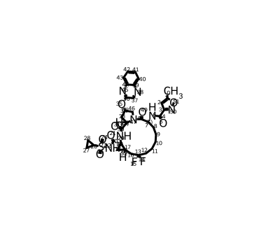 Cc1cc(C(=O)N[C@H]2CCCCCC(F)(F)C[C@@H]3C[C@@]3(C(=O)NS(=O)(=O)C3CC3)NC(=O)[C@@H]3C[C@@H](Oc4cnc5ccccc5n4)CN3C2=O)no1